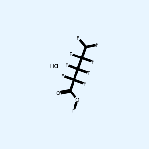 Cl.O=C(OF)C(F)(F)C(F)(F)C(F)(F)C(F)F